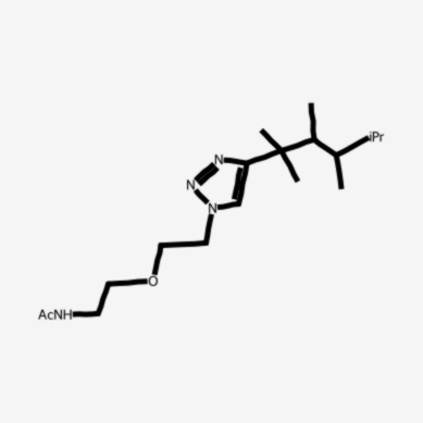 CC(=O)NCCOCCn1cc(C(C)(C)C(C)C(C)C(C)C)nn1